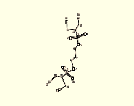 O=S(=O)(OCCCOS(=O)(=O)C(CF)CF)C(CF)CF